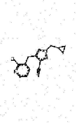 N#Cc1nn(CC2CC2)cc1Cc1cccnc1Cl